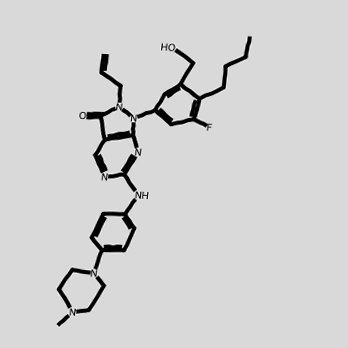 C=CCn1c(=O)c2cnc(Nc3ccc(N4CCN(C)CC4)cc3)nc2n1-c1cc(F)c(CCCC)c(CO)c1